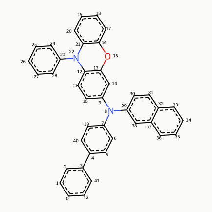 c1ccc(-c2ccc(N(c3ccc4c(c3)Oc3ccccc3N4c3ccccc3)c3ccc4ccccc4c3)cc2)cc1